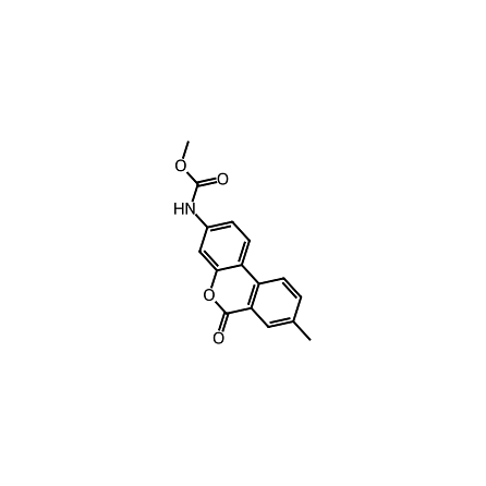 COC(=O)Nc1ccc2c(c1)oc(=O)c1cc(C)ccc12